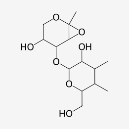 CC1C(CO)OC(OC2C(O)COC3(C)OC23)C(O)C1C